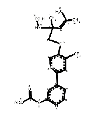 COC(=O)Nc1cc(-c2cc(C(F)(F)F)c(OCC(C)(C=C(C)C)NC(=O)O)cn2)ccn1